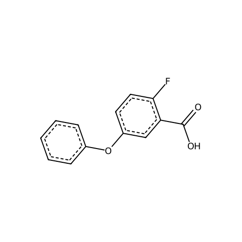 O=C(O)c1cc(Oc2ccccc2)ccc1F